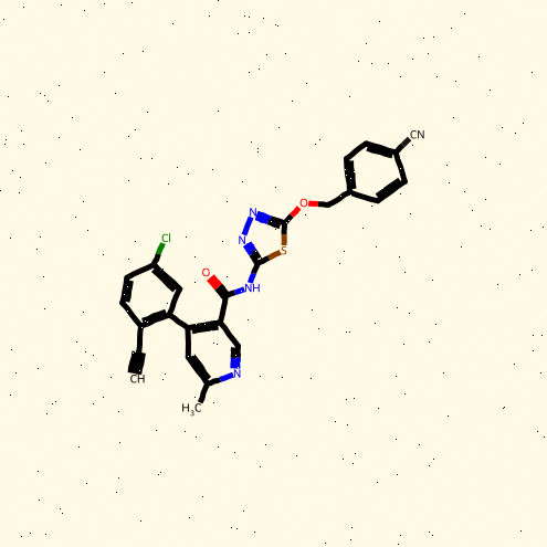 C#Cc1ccc(Cl)cc1-c1cc(C)ncc1C(=O)Nc1nnc(OCc2ccc(C#N)cc2)s1